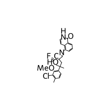 COc1c(C(C)(C)CC(O)(C=Nc2cccc3c(=O)[nH]ccc23)C(F)(F)F)ccc(C)c1Cl